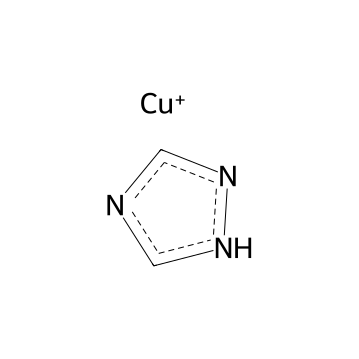 [Cu+].c1nc[nH]n1